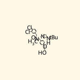 CN(C(=O)Cc1ccc(Cl)c(Cl)c1)[C@H](CN1CC[C@H](NC(C)(C)C)C1)c1ccc(OCCO)cc1